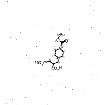 CC(C)(C)OC(=O)N1CCN(CC(CC(=O)O)C(=O)O)CC1